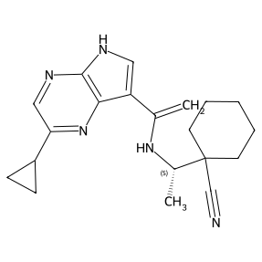 C=C(N[C@@H](C)C1(C#N)CCCCC1)c1c[nH]c2ncc(C3CC3)nc12